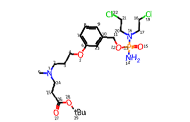 CN(CCCOc1cccc(COP(N)(=O)N(CCCl)CCCl)c1)CCC(=O)OC(C)(C)C